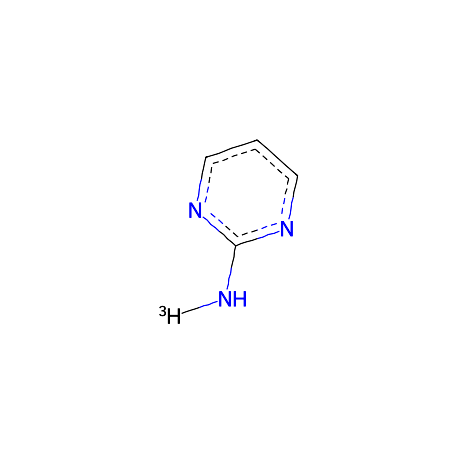 [3H]Nc1ncccn1